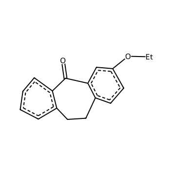 CCOc1ccc2c(c1)C(=O)c1ccccc1CC2